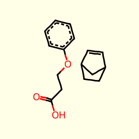 C1=CC2CCC1C2.O=C(O)CCOc1ccccc1